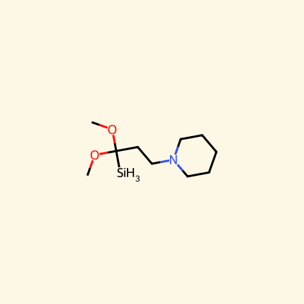 COC([SiH3])(CCN1CCCCC1)OC